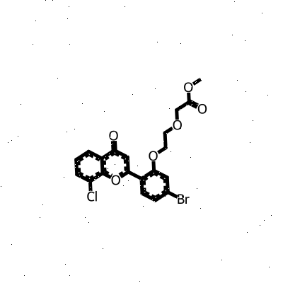 COC(=O)COCCOc1cc(Br)ccc1-c1cc(=O)c2cccc(Cl)c2o1